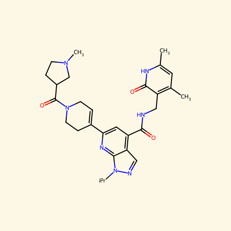 Cc1cc(C)c(CNC(=O)c2cc(C3=CCN(C(=O)C4CCN(C)C4)CC3)nc3c2cnn3C(C)C)c(=O)[nH]1